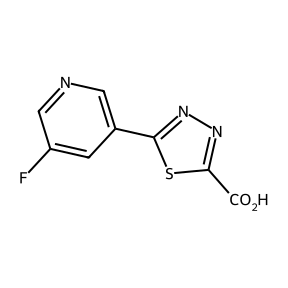 O=C(O)c1nnc(-c2cncc(F)c2)s1